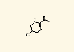 CNC1=NCC(O)CN1